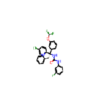 O=C(Nc1cccc(F)c1)N[C@](Cc1ccccc1)(c1cccc(OC(F)F)c1)c1ccc(Cl)cn1